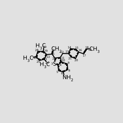 C=C(c1sc2cc(N)ccc2c1Cc1ccc(/C=C/C)cc1)c1c(C)cc(C)cc1C